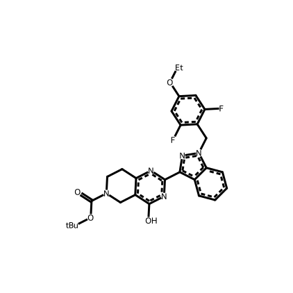 CCOc1cc(F)c(Cn2nc(-c3nc(O)c4c(n3)CCN(C(=O)OC(C)(C)C)C4)c3ccccc32)c(F)c1